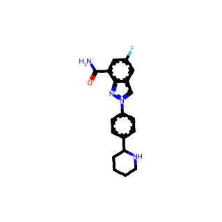 NC(=O)c1cc(F)cc2cn(-c3ccc(C4CCCCN4)cc3)nc12